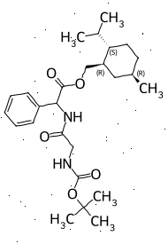 CC(C)[C@@H]1CC[C@@H](C)C[C@H]1COC(=O)C(NC(=O)CNC(=O)OC(C)(C)C)c1ccccc1